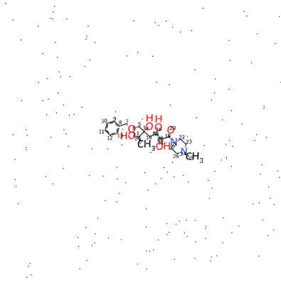 C[C@@H](O)C(O)(COCc1ccccc1)C[C@H](O)[C@@H](O)C(=O)N1CCN(C)CC1